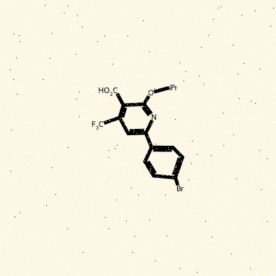 CC(C)Oc1nc(-c2ccc(Br)cc2)cc(C(F)(F)F)c1C(=O)O